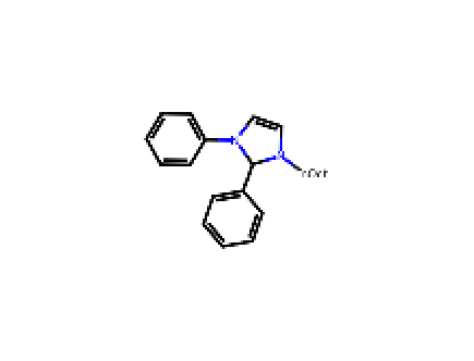 CCCCCCCCN1C=CN(c2ccccc2)C1c1ccccc1